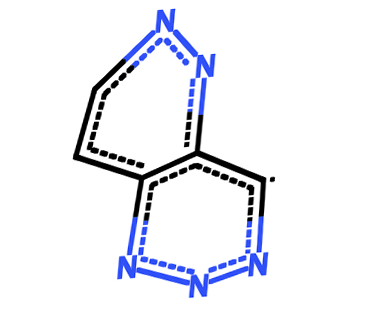 [c]1nnnc2ccnnc12